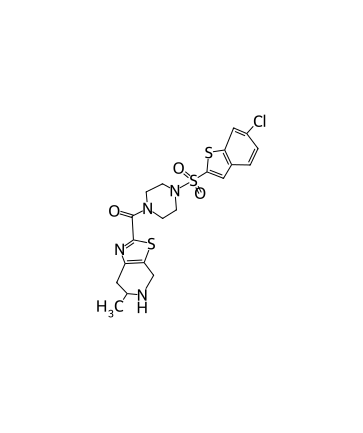 CC1Cc2nc(C(=O)N3CCN(S(=O)(=O)c4cc5ccc(Cl)cc5s4)CC3)sc2CN1